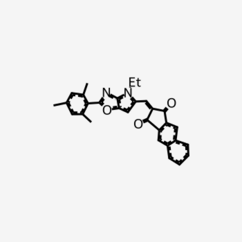 CCn1c(C=C2C(=O)c3cc4ccccc4cc3C2=O)cc2oc(-c3c(C)cc(C)cc3C)nc21